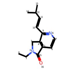 CCN1Cc2c(ccnc2/C=C/C(C)C)C1=O